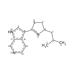 CC(C)CC1CSC(c2c[nH]c3cnccc23)=N1